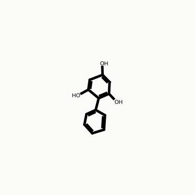 Oc1[c]c(O)c(-c2ccccc2)c(O)c1